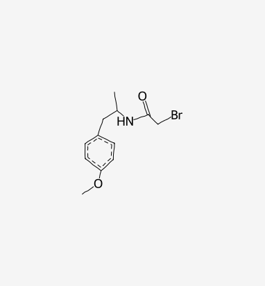 COc1ccc(CC(C)NC(=O)CBr)cc1